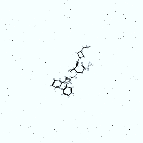 CC(C)C[C@H]1C[C@@H](C#CC(=O)[C@@H](CCO[Si](c2ccccc2)(c2ccccc2)C(C)(C)C)CC(=O)OC(C)(C)C)C1